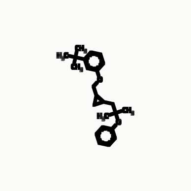 CC(C)(CC1CC1COc1cccc(C(C)(C)C)c1)Oc1ccccc1